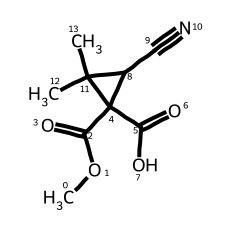 COC(=O)C1(C(=O)O)C(C#N)C1(C)C